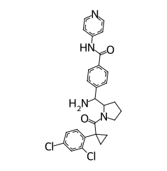 NC(c1ccc(C(=O)Nc2ccncc2)cc1)C1CCCN1C(=O)C1(c2ccc(Cl)cc2Cl)CC1